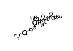 CC(C)(C)OC(=O)N1CC(C)(C(=O)Nc2c[nH]c3ccc(O[C@H]4C[C@H](c5ccc(C(F)(F)F)cc5)C4)cc23)C1